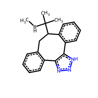 CBC(C)(C)C1Cc2ccccc2-c2nn[nH]c2-c2ccccc21